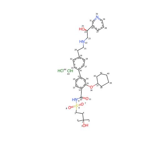 CC(C)(O)CCS(=O)(=O)NC(=O)c1ccc(-c2ccc(CCNC[C@@H](O)c3cccnc3)cc2)cc1OC1CCCCC1.Cl.Cl